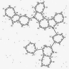 c1ccc(-c2nc(-c3cccc(-n4c5ccccc5c5c6c7ccccc7n(-c7ccc8sc9ccccc9c8c7)c6ccc54)c3)nc3ccccc23)cc1